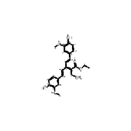 CCOC(=O)C(CN)=C(/C=C/c1ccc(O)c(OC)c1)/C=C/c1ccc(O)c(OC)c1